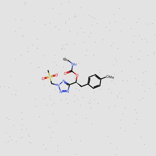 COc1ccc(C[C@H](OC(=O)NC(C)(C)C)c2nnn(CS(C)(=O)=O)n2)cc1